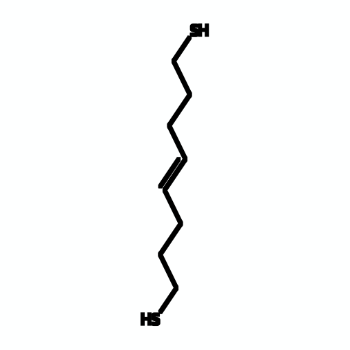 SCCCC=CCCCS